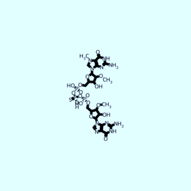 COC1C(COP(=O)(O)OP(O)(=S)OP(=O)(O)OCC2OC(N3CN(C)c4c3nc(N)[nH]c4=O)C(OC)C2O)OC(n2cnc3c(=O)[nH]c(N)nc32)C1O